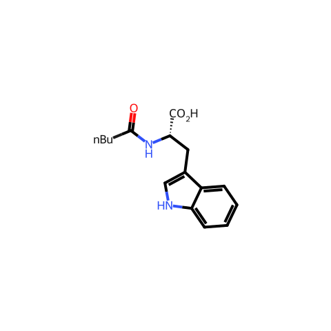 CCCCC(=O)N[C@@H](Cc1c[nH]c2ccccc12)C(=O)O